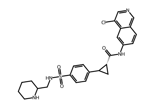 O=C(Nc1ccc2cncc(Cl)c2c1)[C@@H]1CC1c1ccc(S(=O)(=O)NCC2CCCCN2)cc1